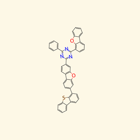 c1ccc(-c2nc(-c3ccc4c(c3)oc3cc(-c5cccc6c5sc5ccccc56)ccc34)nc(-c3cccc4c3oc3ccccc34)n2)cc1